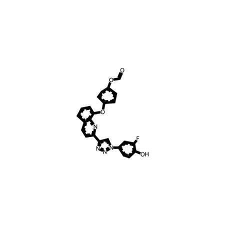 O=COc1ccc(Oc2cccc3ccc(-c4cn(-c5ccc(O)c(F)c5)nn4)nc23)cc1